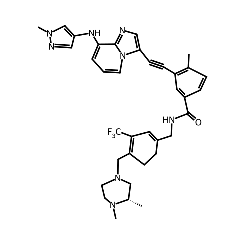 Cc1ccc(C(=O)NCC2=CC(C(F)(F)F)=C(CN3CCN(C)[C@@H](C)C3)CC2)cc1C#Cc1cnc2c(Nc3cnn(C)c3)cccn12